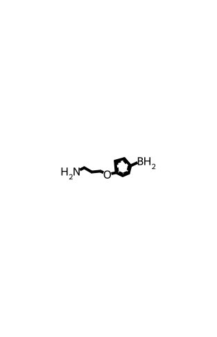 Bc1ccc(OCCCN)cc1